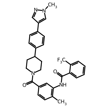 Cc1ccc(C(=O)N2CCC(c3ccc(-c4cnn(C)c4)cc3)CC2)cc1NC(=O)c1ccccc1C(F)(F)F